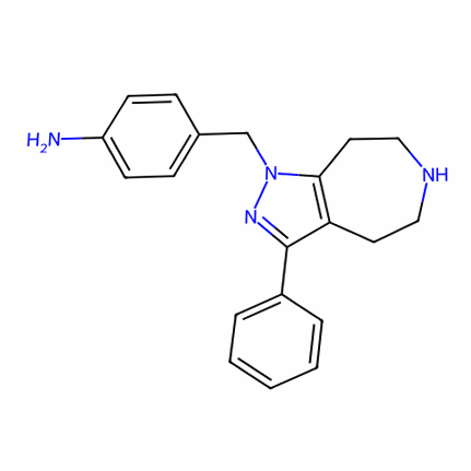 Nc1ccc(Cn2nc(-c3ccccc3)c3c2CCNCC3)cc1